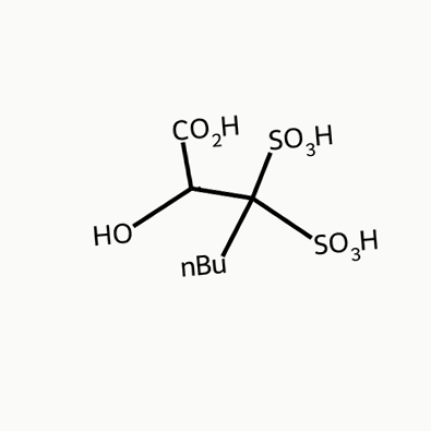 CCCCC([C](O)C(=O)O)(S(=O)(=O)O)S(=O)(=O)O